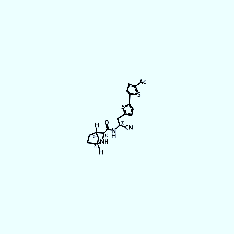 CC(=O)c1ccc(-c2ccc(C[C@@H](C#N)NC(=O)[C@H]3N[C@@H]4CC[C@H]3C4)s2)s1